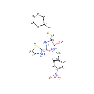 O=C(N[C@@H](CSCC1CCCCC1)C(=O)NCc1ccc([N+](=O)[O-])cc1)C1NCCS1